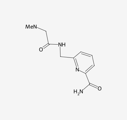 CNCC(=O)NCc1cccc(C(N)=O)n1